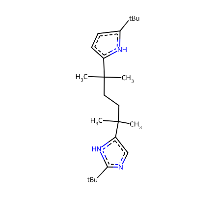 CC(C)(C)c1ccc(C(C)(C)CCC(C)(C)c2cnc(C(C)(C)C)[nH]2)[nH]1